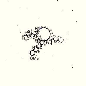 COc1ccc2nc(C)c(O[C@@H]3C[C@H]4C(=O)N[C@]5(C(=O)NS(=O)(=O)C6(C)CC6)C[C@H]5/C=C\CCCCC[C@H](NC(=O)O[C@@H](C)C(C)C)C(=O)N4C3)nc2c1